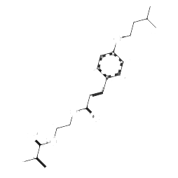 C=C(C)C(=O)OCCOC(=O)/C=C/c1ccc(OCCC(C)C)cc1